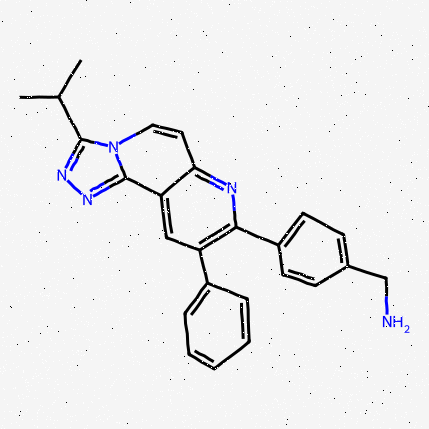 CC(C)c1nnc2c3cc(-c4ccccc4)c(-c4ccc(CN)cc4)nc3ccn12